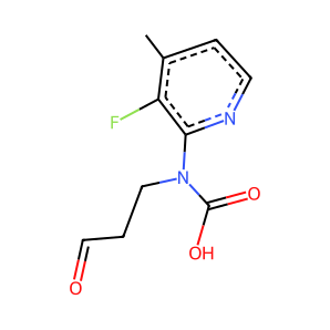 Cc1ccnc(N(CCC=O)C(=O)O)c1F